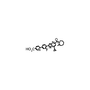 C[C@@H]1CCCCCN1C(=O)c1cc(C2CC2)n2nc(-c3ccc(-c4ccc(C(=O)O)cn4)cc3F)cc2n1